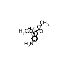 CCOC(=O)C(C)(Cc1ccc(N)cc1)C(=O)OCC